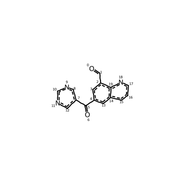 O=Cc1cc(C(=O)c2cncnc2)cc2cccnc12